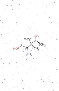 C=C(CO)C(C)(SC)[C@H](C)Br